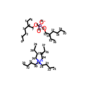 CCCCC(CC)COP(=O)([O-])OCC(CC)CCCC.CCCC[N+](CCCC)(CCCC)CCCC